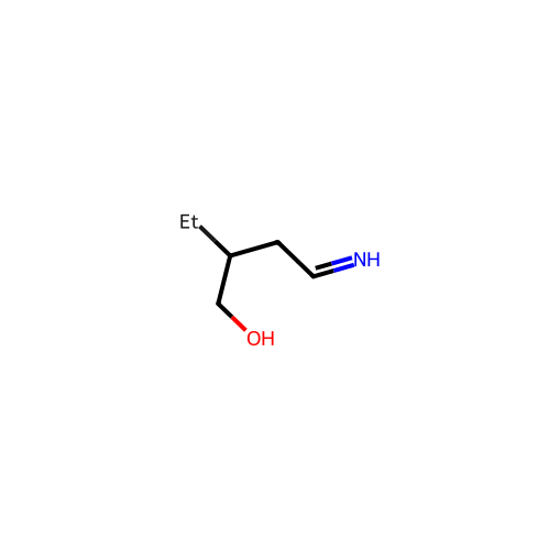 CCC(CO)CC=N